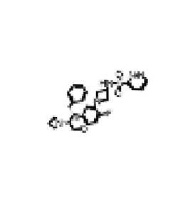 O=S(=O)(NC1CN(c2cc3c(cc2F)OC[C@H](N2CCC2)[C@@H]3Cc2ccccc2)C1)c1cccnn1